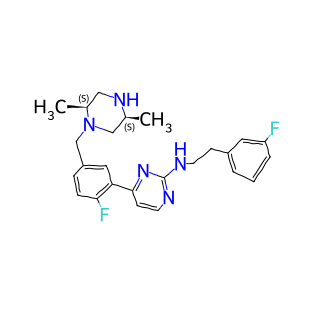 C[C@H]1CN(Cc2ccc(F)c(-c3ccnc(NCCc4cccc(F)c4)n3)c2)[C@@H](C)CN1